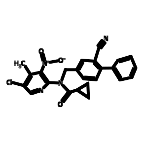 Cc1c(Cl)cnc(N(Cc2ccc(-c3ccccc3)c(C#N)c2)C(=O)C2CC2)c1[N+](=O)[O-]